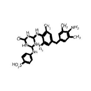 Cc1cc(Cc2cc(C)c(NC3NC(Cl)NC(Nc4ccc(S(=O)(=O)O)cc4)N3)c(C)c2)cc(C)c1N